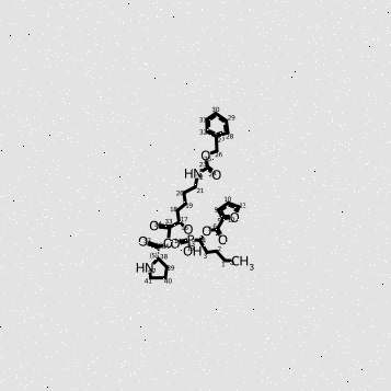 CCCCC(OC(=O)c1ccco1)P(=O)(O)OC(CCCCNC(=O)OCc1ccccc1)C(=O)OC(=O)[C@@H]1CCCN1